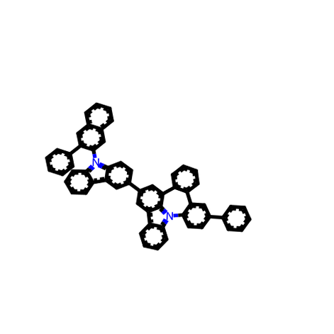 c1ccc(-c2ccc3c(c2)-c2ccccc2-c2cc(-c4ccc5c(c4)c4ccccc4n5-c4cc5ccccc5cc4-c4ccccc4)cc4c5ccccc5n-3c24)cc1